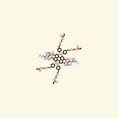 C=CC(=O)OCCOCCc1ccc(Oc2cc3c4c(cc(Oc5ccc(CCOCCOC(=O)C=C)cc5)c5c6c(Oc7ccc(CCOCCOC(=O)C=C)cc7)cc7c8c(cc(Oc9ccc(CCOCCOC(=O)C=C)cc9)c(c2c45)c86)C(=O)N(C(C(=O)NC(C(F)(F)F)C(F)(F)F)C(C)CC)C7=O)C(=O)N(C(C(=O)NC(C(F)(F)F)C(F)(F)F)C(C)CC)C3=O)cc1